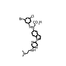 CN(C)CCNc1cnc(-n2ccc3cc(N(CC(=O)O)Sc4cc(Cl)cc(Br)c4)ccc32)cn1